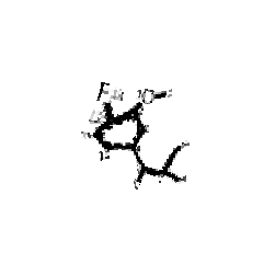 COc1cc(C(C)C(C)C)ccc1F